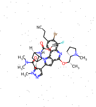 C[C@H](Oc1nc2c(F)c(Br)c(CCC#N)cc2c2c1cc(-c1cnn(C)c1C(=O)N(C)C)n2[C@H]1[C@@H]2C[C@H]1N(C(=O)OC(C)(C)C)C2)[C@@H]1CCCN1C